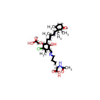 CC(=O)N[C@@H](CCCCN=Cc1c(C)c(Cl)c(OCC(=O)O)c(C/C=C(C)/C=C/[C@@]2(C)[C@H](C)CCC(=O)[C@@H]2C)c1O)C(=O)O